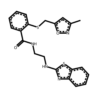 Cc1cc(CSc2ccccc2C(=O)NCCNc2nc3ccccc3s2)on1